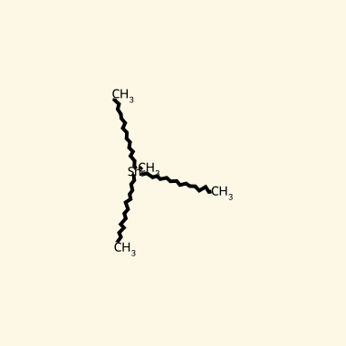 CCCCCCCCCCCCCCC[CH2][Sn]([CH3])([CH2]CCCCCCCCCCCCCCC)[CH2]CCCCCCCCCCCCCCC